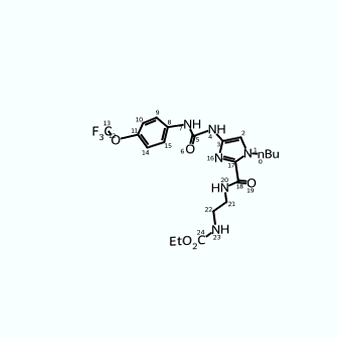 CCCCn1cc(NC(=O)Nc2ccc(OC(F)(F)F)cc2)nc1C(=O)NCCNC(=O)OCC